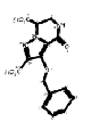 CCOC(=O)C1CNC(=O)c2c(OCc3ccccc3)c(C(=O)O)nn21